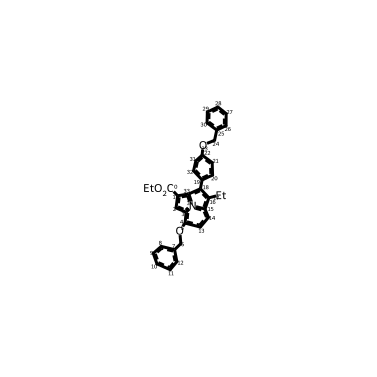 CCOC(=O)c1cc2c(OCc3ccccc3)ccc3c(CC)c(-c4ccc(OCc5ccccc5)cc4)c1n23